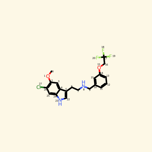 COc1cc2c(CCNCc3cccc(OCC(F)(F)F)c3)c[nH]c2cc1Cl